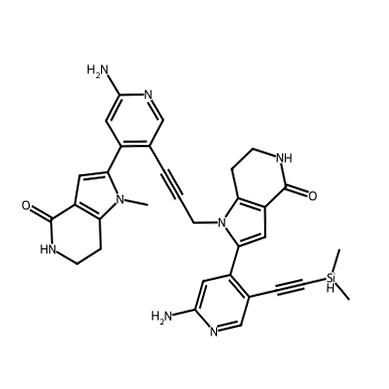 Cn1c(-c2cc(N)ncc2C#CCn2c(-c3cc(N)ncc3C#C[SiH](C)C)cc3c2CCNC3=O)cc2c1CCNC2=O